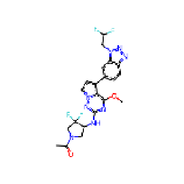 COc1nc(NC2CN(C(C)=O)CC2(F)F)nn2ccc(-c3ccc4nnn(CC(F)F)c4c3)c12